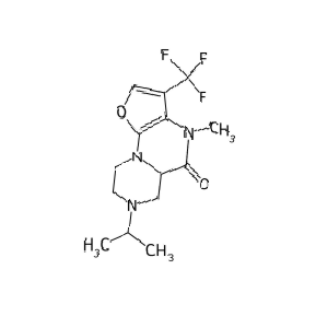 CC(C)N1CCN2c3occ(C(F)(F)F)c3N(C)C(=O)C2C1